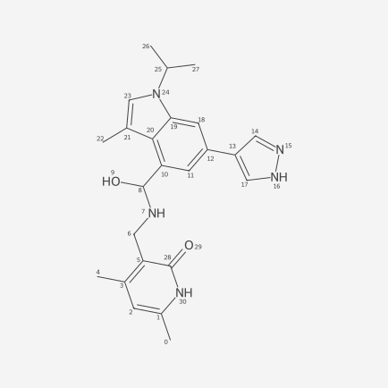 Cc1cc(C)c(CNC(O)c2cc(-c3cn[nH]c3)cc3c2c(C)cn3C(C)C)c(=O)[nH]1